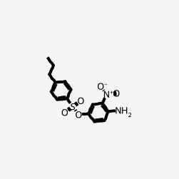 CCCc1ccc(S(=O)(=O)Oc2ccc(N)c([N+](=O)[O-])c2)cc1